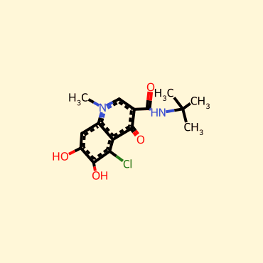 Cn1cc(C(=O)NC(C)(C)C)c(=O)c2c(Cl)c(O)c(O)cc21